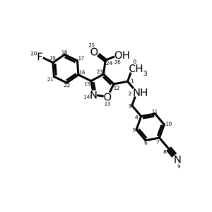 CC(NCc1ccc(C#N)cc1)c1onc(-c2ccc(F)cc2)c1C(=O)O